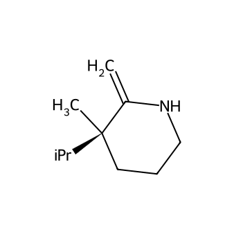 C=C1NCCC[C@@]1(C)C(C)C